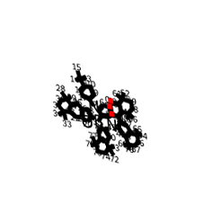 Cc1cc2c3c(c1)N(c1ccc(C(C)(C)C)cc1)c1c(oc4cc5c(cc14)C(C)(C)CCC5(C)C)B3c1cc3c(cc1N2c1cc2c(cc1-c1cccc4c1C(C)(C)CCC4(C)C)C(C)(C)CCC2(C)C)C(C)(C)CCC3(C)C